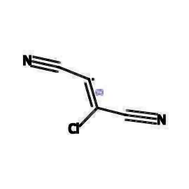 N#C/[C]=C(\Cl)C#N